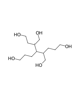 OCCCC(CO)C(CCCO)[C](CO)CCO